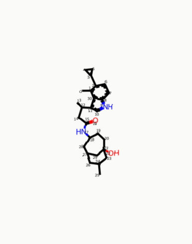 Cc1c(C2CC2)ccc2[nH]cc(C(C)CC(=O)NC3CCC4(O)CC(C)CC(C3)C4)c12